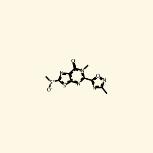 Cc1noc(-c2nc3sc([S+](C)[O-])nc3c(=O)n2C)n1